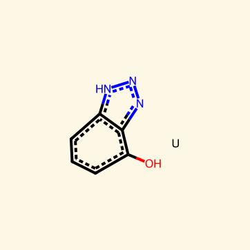 Oc1cccc2[nH]nnc12.[U]